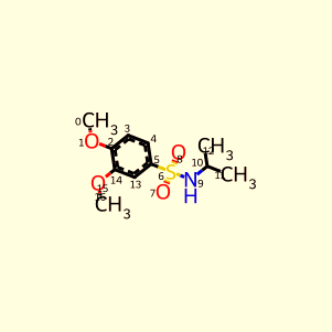 COc1ccc(S(=O)(=O)NC(C)C)cc1OC